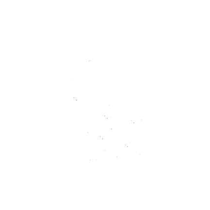 CC(=O)NCC12CN(C(=O)O)CC(=O)N1CC1(CCN(Cc3ccccc3)CC1)N2C